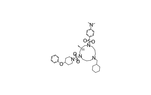 C[C@H]1CN(S(=O)(=O)c2ccc(N(C)C)cc2)CCCN(CC2CCCCC2)CCCN(S(=O)(=O)N2CCC(Oc3ccccc3)CC2)C1